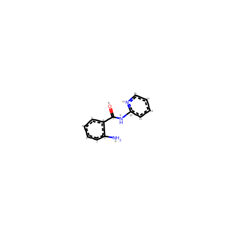 Nc1ccccc1C(=O)Nc1ccccn1